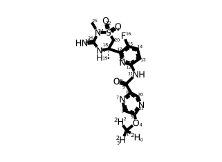 [2H]C([2H])([2H])Oc1cnc(C(=O)Nc2ccc(F)c([C@]3(C)CS(=O)(=O)N(C)C(=N)N3)n2)cn1